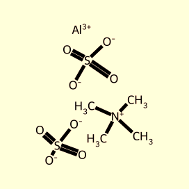 C[N+](C)(C)C.O=S(=O)([O-])[O-].O=S(=O)([O-])[O-].[Al+3]